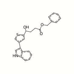 O=C(CCC(O)c1cc(-c2c[nH]c3ccccc23)cs1)OCc1ccccc1